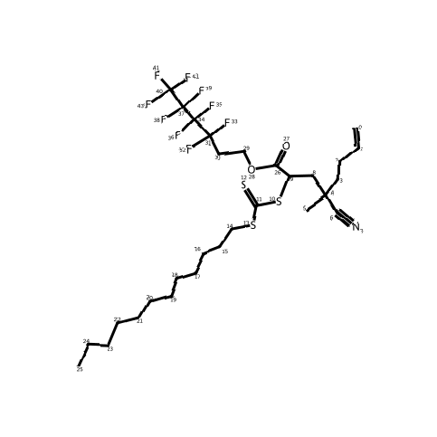 C=CCCC(C)(C#N)CC(SC(=S)SCCCCCCCCCCCC)C(=O)OCCC(F)(F)C(F)(F)C(F)(F)C(F)(F)F